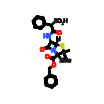 CS[C@@]1(C(=O)OCc2ccccc2)N2C(=O)[C@H](NC(=O)[C@@H](c3ccccc3)S(=O)(=O)O)[C@H]2SC1(C)C